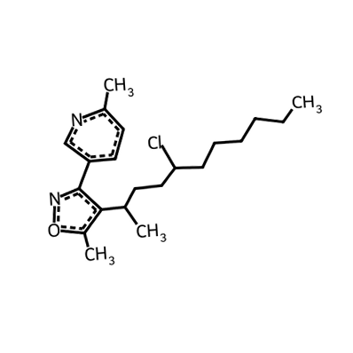 CCCCCCC(Cl)CCC(C)c1c(-c2ccc(C)nc2)noc1C